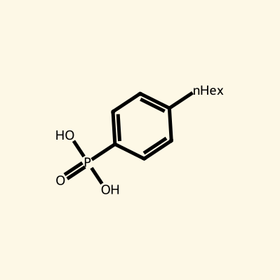 CCCCCCc1ccc(P(=O)(O)O)cc1